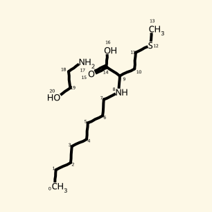 CCCCCCCCNC(CCSC)C(=O)O.NCCO